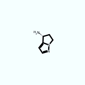 N[C@@H]1CCn2nccc21